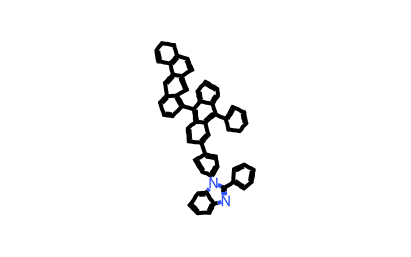 C1=CCCC(c2c3ccccc3c(-c3cccc4cc5c6c(ccc5cc34)CCC=C6)c3ccc(-c4ccc(-n5c(-c6ccccc6)nc6ccccc65)cc4)cc23)=C1